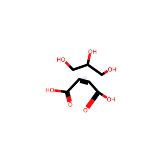 O=C(O)/C=C\C(=O)O.OCC(O)CO